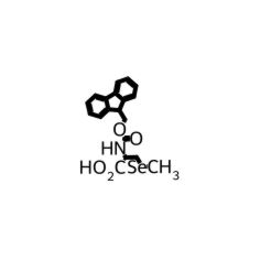 C[Se]C[C@H](NC(=O)OCC1c2ccccc2-c2ccccc21)C(=O)O